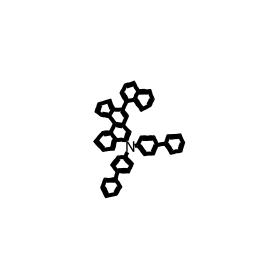 c1ccc(-c2ccc(N(c3ccc(-c4ccccc4)cc3)c3cc4cc(-c5cccc6ccccc56)c5ccccc5c4c4ccccc34)cc2)cc1